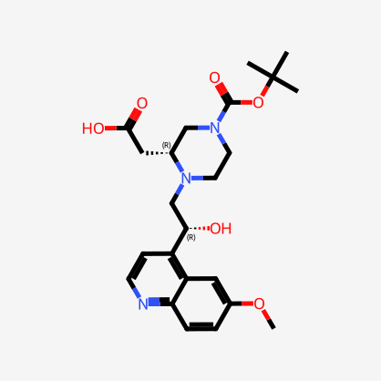 COc1ccc2nccc([C@@H](O)CN3CCN(C(=O)OC(C)(C)C)C[C@H]3CC(=O)O)c2c1